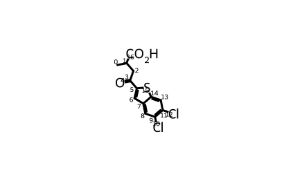 CC(CC(=O)c1cc2cc(Cl)c(Cl)cc2s1)C(=O)O